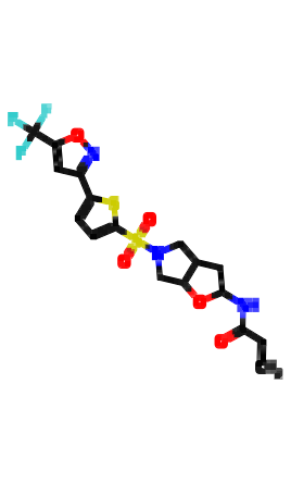 C=CC(=O)NC1CC2CN(S(=O)(=O)c3ccc(-c4cc(C(F)(F)F)on4)s3)CC2O1